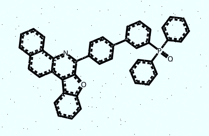 O=P(c1ccccc1)(c1ccccc1)c1cccc(-c2ccc(-c3nc4c5ccccc5ccc4c4c3oc3ccccc34)cc2)c1